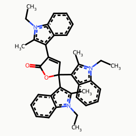 CCn1c(C)c(C2=CC(c3c(C)n(CC)c4ccccc34)(c3c(C)n(CC)c4ccccc34)OC2=O)c2ccccc21